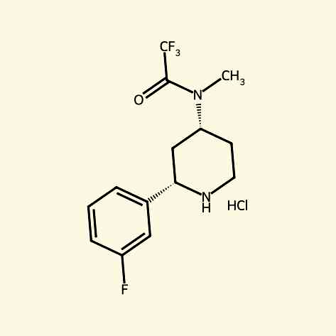 CN(C(=O)C(F)(F)F)[C@@H]1CCN[C@H](c2cccc(F)c2)C1.Cl